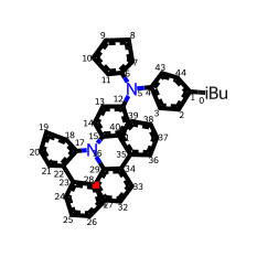 CCC(C)c1ccc(N(c2ccccc2)c2ccc(N(c3ccccc3-c3ccccc3)c3ccccc3-c3ccccc3)cc2)cc1